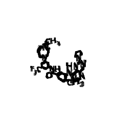 Cc1ccc(C(=O)Nc2cc(N3CCCN(C)CC3)cc(C(F)(F)F)c2)cc1Nc1ncnc2cnc(N3CCCC3)nc12